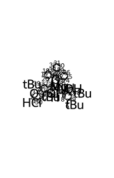 C1CCOCC1.CC(C)(C)c1cc(C[NH][Mn]([CH2]OC(c2ccccc2)(c2ccccc2)c2ccccc2)[NH]Cc2cc(C(C)(C)C)cc(C(C)(C)C)c2O)c(O)c(C(C)(C)C)c1.Cl